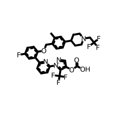 Cc1cc(C2CCN(CC(F)(F)F)CC2)ccc1COc1ccc(F)cc1-c1cccc(-n2ncc(OC(=O)O)c2C(F)(F)F)n1